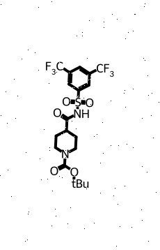 CC(C)(C)OC(=O)N1CCC(C(=O)NS(=O)(=O)c2cc(C(F)(F)F)cc(C(F)(F)F)c2)CC1